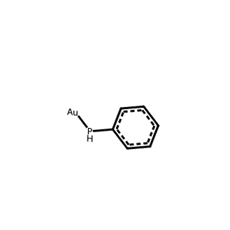 [Au][PH]c1ccccc1